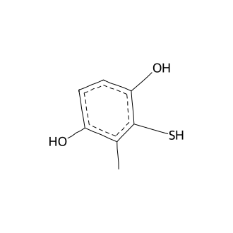 Cc1c(O)ccc(O)c1S